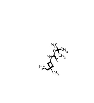 CC[C@]1(C)C[C@H](NC(=O)OC(C)(C)C)C1